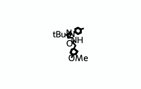 COc1ccc(CC(=O)Nc2cc(C(C)(C)C)nn2-c2ccc(C)cc2)cc1